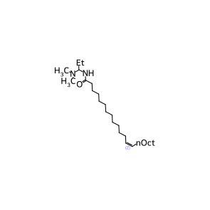 CCCCCCCC/C=C\CCCCCCCCCCCC(=O)NC(CC)N(C)C